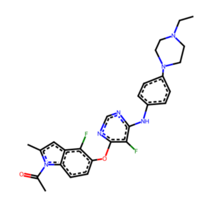 CCN1CCN(c2ccc(Nc3ncnc(Oc4ccc5c(cc(C)n5C(C)=O)c4F)c3F)cc2)CC1